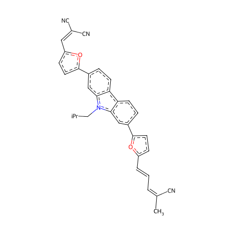 C/C(C#N)=C/C=C/c1ccc(-c2ccc3c4ccc(-c5ccc(C=C(C#N)C#N)o5)cc4n(CC(C)C)c3c2)o1